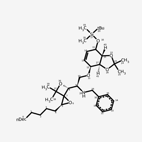 CCCCCCCCCCCCCC[C@@H]1OC12[C@@H]([C@@H](CO[C@H]1C=CC(O[Si](C)(C)C(C)(C)C)[C@@H]3OC(C)(C)O[C@@H]13)NCc1ccccc1)OC2(C)C